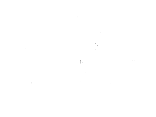 c1ccc2c(c1)-c1cccc3cc(N4c5ccccc5-c5ccccc5-n5c4cc4ccccc45)cc-2c13